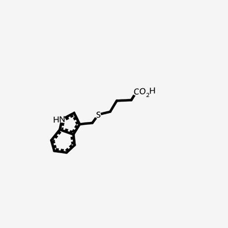 O=C(O)CCCSCc1c[nH]c2ccccc12